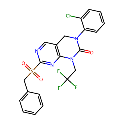 O=C1N(c2ccccc2Cl)Cc2cnc(S(=O)(=O)Cc3ccccc3)nc2N1CC(F)(F)F